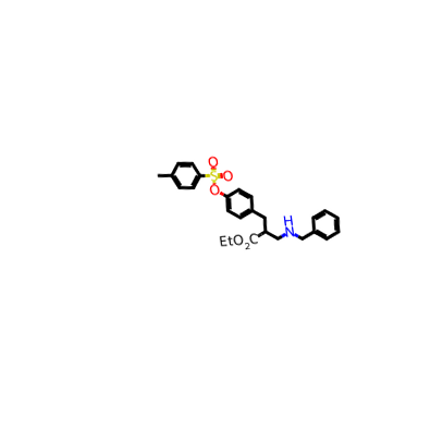 CCOC(=O)C(CNCc1ccccc1)Cc1ccc(OS(=O)(=O)c2ccc(C)cc2)cc1